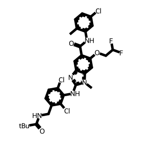 Cc1ccc(Cl)cc1NC(=O)c1cc2nc(Nc3c(Cl)ccc(CNC(=O)C(C)(C)C)c3Cl)n(C)c2cc1OCC(F)F